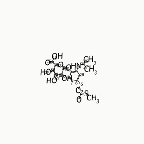 CSC(=O)OCc1ccc(O[C@H]2O[C@@H](C(=O)O)[C@H](O)[C@@H](O)[C@@H]2O)c(NC(C)C)c1